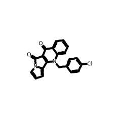 O=C1c2c(n(Cc3ccc(Cl)cc3)c3ccccc3c2=O)-c2cccn21